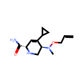 C=CCON(C)[C@H]1CN[C@H](C(N)=O)C=C1C1CC1